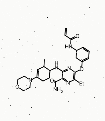 C=CC(=O)NC1C=CC=C(Oc2nc(NC3CCC(N4CCOCC4)=CC3C)c(C(N)=O)nc2CC)C1